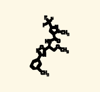 COCC(NC(=O)c1cc(C(F)(F)F)nn1C)c1nc(-c2cccc(C)c2)no1